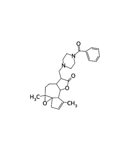 CC1=CCC23OC2(C)CCC2C(CN4CCN(C(=O)c5ccccc5)CC4)C(=O)OC2C13